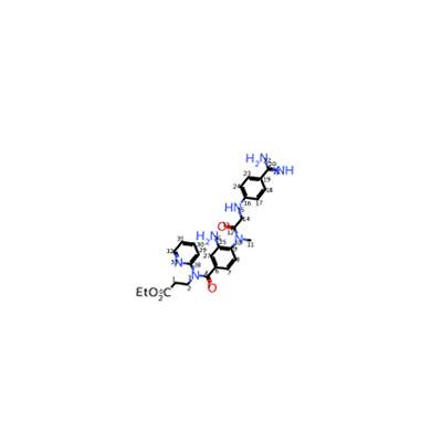 CCOC(=O)CCN(C(=O)c1ccc(N(C)C(=O)CNc2ccc(C(=N)N)cc2)c(N)c1)c1ccccn1